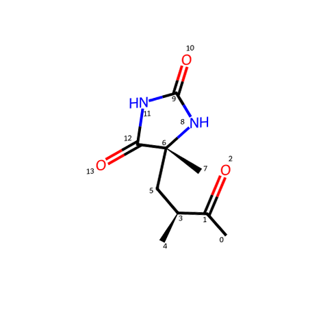 CC(=O)[C@@H](C)C[C@@]1(C)NC(=O)NC1=O